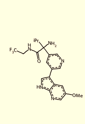 COc1cnc2[nH]cc(-c3cncc(C(N)(C(=O)NCC(F)(F)F)C(C)C)c3)c2c1